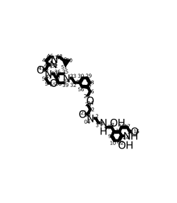 CN(CCNC[C@@H](O)c1ccc(O)c2[nH]c(=O)ccc12)C(=O)CCOCCc1cccc(CCN2CCC3(CC2)CN(C(=O)c2ccn(CC4CC4)n2)CCO3)c1